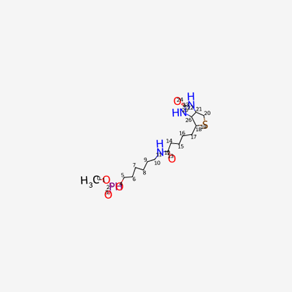 CO[PH](=O)OCCCCCCNC(=O)CCCCC1SCC2NC(=O)NC21